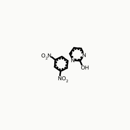 O=[N+]([O-])c1cccc([N+](=O)[O-])c1.Oc1ncccn1